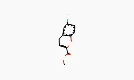 COC(=O)C1=CCc2cc(F)ccc2O1